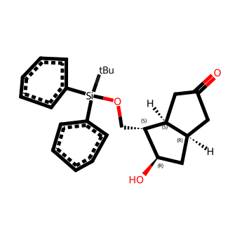 CC(C)(C)[Si](OC[C@@H]1[C@H]2CC(=O)C[C@H]2C[C@H]1O)(c1ccccc1)c1ccccc1